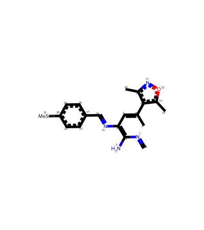 C=N/C(N)=C(\C=C(/C)c1c(C)noc1C)/N=C/c1ccc(SC)cc1